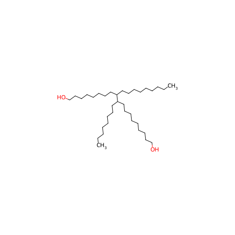 CCCCCCCCCC(CCCCCCCCO)C(CCCCCCCC)CCCCCCCCCO